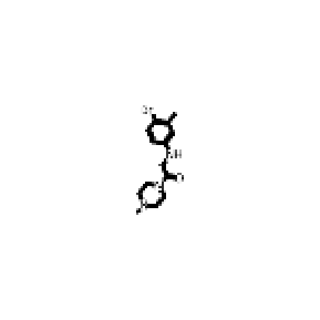 Cc1cc(NCC(=O)N2CCN(C)CC2)ccc1Br